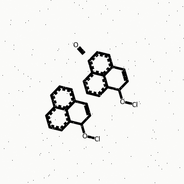 C=O.ClOC1C=Cc2cccc3cccc1c23.ClOC1C=Cc2cccc3cccc1c23